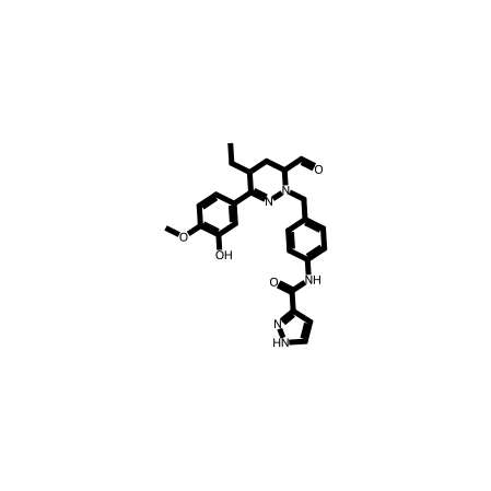 CCC1CC(C=O)N(Cc2ccc(NC(=O)c3cc[nH]n3)cc2)N=C1c1ccc(OC)c(O)c1